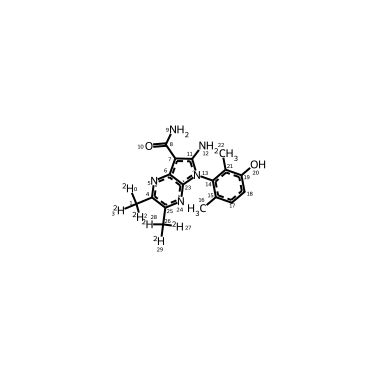 [2H]C([2H])([2H])c1nc2c(C(N)=O)c(N)n(-c3c(C)ccc(O)c3C)c2nc1C([2H])([2H])[2H]